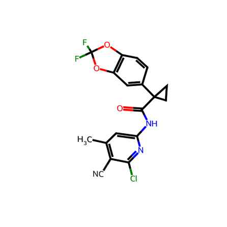 Cc1cc(NC(=O)C2(c3ccc4c(c3)OC(F)(F)O4)CC2)nc(Cl)c1C#N